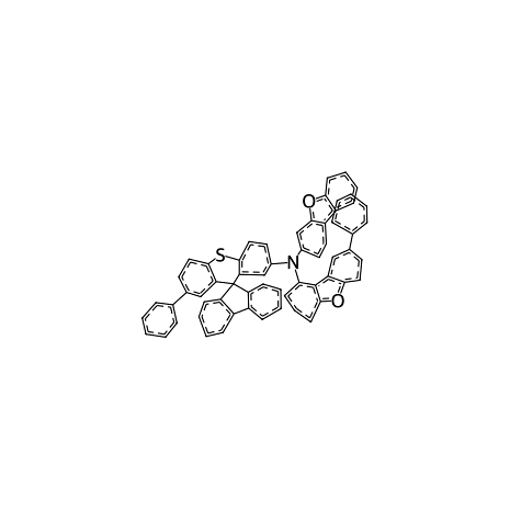 c1ccc(-c2ccc3c(c2)C2(c4cc(N(c5ccc6c(c5)oc5ccccc56)c5cccc6oc7ccc(-c8ccccc8)cc7c56)ccc4S3)c3ccccc3-c3ccccc32)cc1